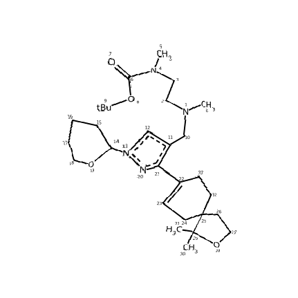 CN(CCN(C)C(=O)OC(C)(C)C)Cc1cn(C2CCCCO2)nc1C1=CCC2(CCOC2(C)C)CC1